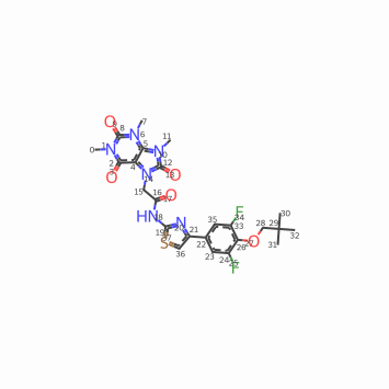 Cn1c(=O)c2c(n(C)c1=O)n(C)c(=O)n2CC(=O)Nc1nc(-c2cc(F)c(OCC(C)(C)C)c(F)c2)cs1